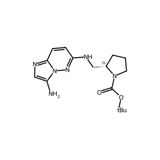 CC(C)(C)OC(=O)N1CCC[C@H]1CNc1ccc2ncc(N)n2n1